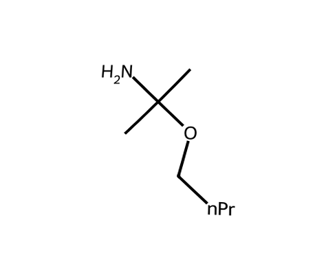 CCCCOC(C)(C)N